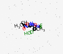 Cc1cc(Cl)cc(-c2ncnn3cc(CN4C(=O)C5C(C4=O)C5(C)C)cc23)c1C(=O)N1CC(F)(F)C1.Cl